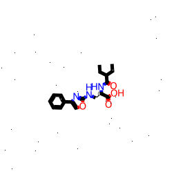 CCC(CC)C(=O)N[C@@H](CNc1nc(-c2ccccc2)co1)C(=O)O